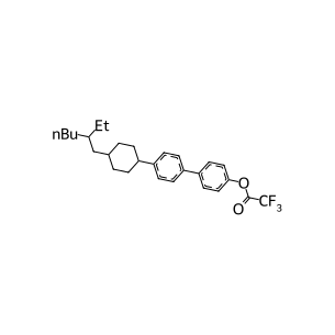 CCCCC(CC)CC1CCC(c2ccc(-c3ccc(OC(=O)C(F)(F)F)cc3)cc2)CC1